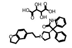 NC(=O)C(c1ccccc1)(c1ccccc1)[C@H]1CCN(CCc2ccc3c(c2)CCO3)C1.O=C(O)C(O)C(O)C(=O)O